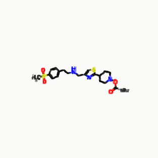 CC(C)(C)C(=O)ON1CCC(c2nc(CNCCc3ccc(S(C)(=O)=O)cc3)cs2)CC1